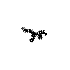 CC1COCCN1C[C@H]1CN(C(=O)OC(C)(C)C)[C@H](C)CN1CC(=O)N1CC(C)(CCCNC(=O)CC(=O)O)c2ccc(Cc3ccc(F)cc3)cc21